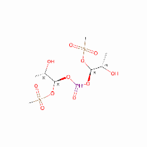 C[C@H](O)[C@@H](O[PH](=O)O[C@@H](OS(C)(=O)=O)[C@H](C)O)OS(C)(=O)=O